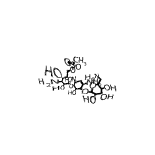 CS(=O)(=O)OCC1OC(OC2C(O)C(OC3OC(CN)C(O)C(O)C3O)C(N)C[C@@H]2N)C(O)C(N)C1O